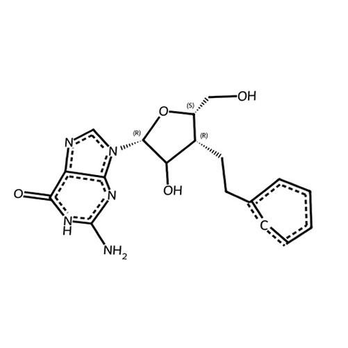 Nc1nc2c(ncn2[C@@H]2O[C@H](CO)[C@H](CCc3ccccc3)C2O)c(=O)[nH]1